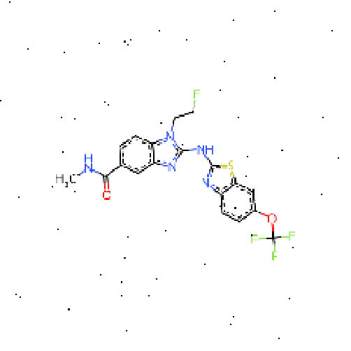 CNC(=O)c1ccc2c(c1)nc(Nc1nc3ccc(OC(F)(F)F)cc3s1)n2CCF